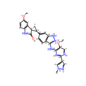 COc1ccc2c(c1)[C@]1(C[C@H]1c1ccc3c(Nc4nc(-c5cnn(C)c5)ncc4OC)n[nH]c3c1)C(=O)N2